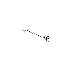 C#CC1(OC(=O)CCCCCCCCCCCCCCCCC)CCNCC1